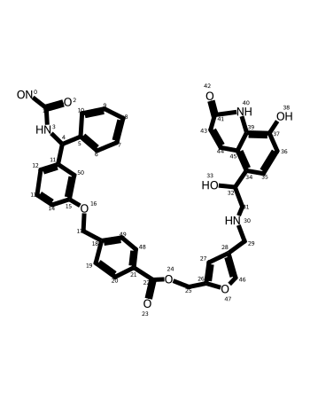 O=NC(=O)NC(c1ccccc1)c1cccc(OCc2ccc(C(=O)OCc3cc(CNCC(O)c4ccc(O)c5[nH]c(=O)ccc45)co3)cc2)c1